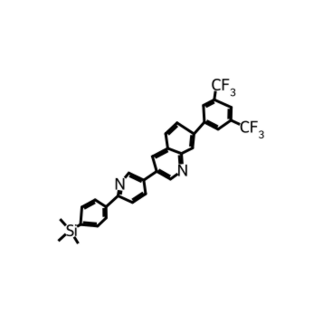 C[Si](C)(C)c1ccc(-c2ccc(-c3cnc4cc(-c5cc(C(F)(F)F)cc(C(F)(F)F)c5)ccc4c3)cn2)cc1